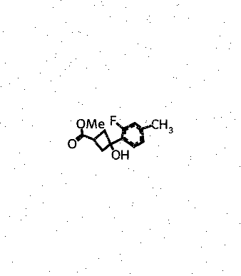 COC(=O)C1CC(O)(c2ccc(C)cc2F)C1